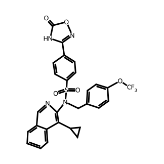 O=c1[nH]c(-c2ccc(S(=O)(=O)N(Cc3ccc(OC(F)(F)F)cc3)c3ncc4ccccc4c3C3CC3)cc2)no1